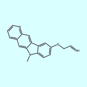 Cn1c2ccc(OCC=N)cc2c2cc3ncccc3cc21